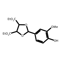 CCOC(=O)C1OC(c2ccc(O)c(OC)c2)OC1C(=O)OCC